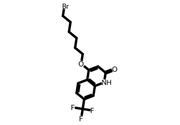 O=c1cc(OCCCCCCBr)c2ccc(C(F)(F)F)cc2[nH]1